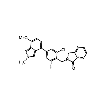 COc1ccc(-c2cc(F)c(CN3Cc4ncccc4C3=O)c(Cl)c2)c2cn(C)nc12